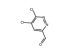 O=Cc1cc(Cl)c(Cl)nn1